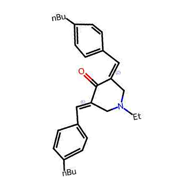 CCCCc1ccc(/C=C2/CN(CC)C/C(=C\c3ccc(CCCC)cc3)C2=O)cc1